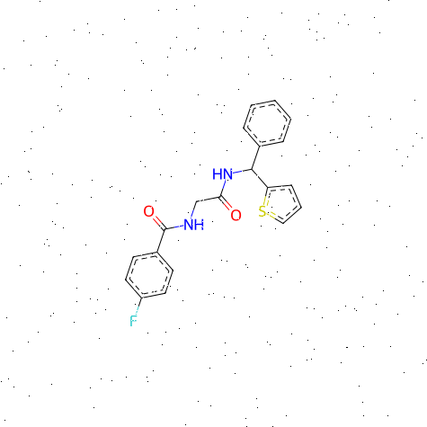 O=C(CNC(=O)c1ccc(F)cc1)NC(c1ccccc1)c1cccs1